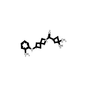 Cc1ccccc1OC1CC2(C1)CN(C(=O)C1CC(C)(O)C1)C2